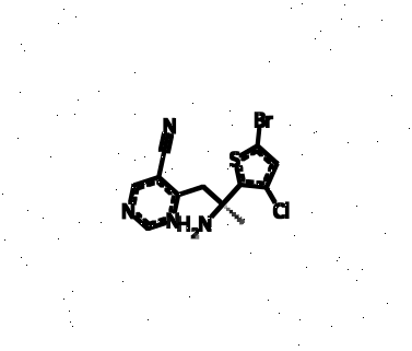 C[C@](N)(Cc1ncncc1C#N)c1sc(Br)cc1Cl